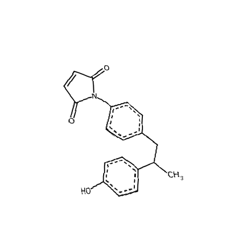 CC(Cc1ccc(N2C(=O)C=CC2=O)cc1)c1ccc(O)cc1